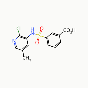 Cc1cnc(Cl)c(NS(=O)(=O)c2cccc(C(=O)O)c2)c1